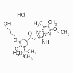 CCOc1nn2c(=N)n(CC(=O)c3cc(OCCCCO)c(OC)c(C(C)(C)C)c3)nc2c(C)c1C.Cl